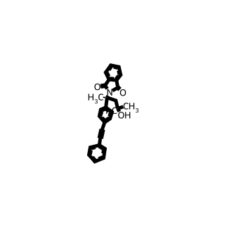 CC(C)(O)C[C@@](C)(c1ccc(C#Cc2ccccc2)cc1)N1C(=O)c2ccccc2C1=O